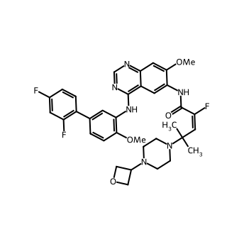 COc1cc2ncnc(Nc3cc(-c4ccc(F)cc4F)ccc3OC)c2cc1NC(=O)/C(F)=C\C(C)(C)N1CCN(C2COC2)CC1